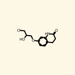 O=C1CCc2ccc(OCC(O)CCl)cc2N1